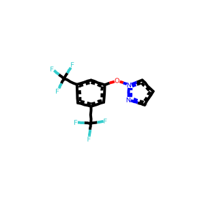 FC(F)(F)c1cc(On2cc[c]n2)cc(C(F)(F)F)c1